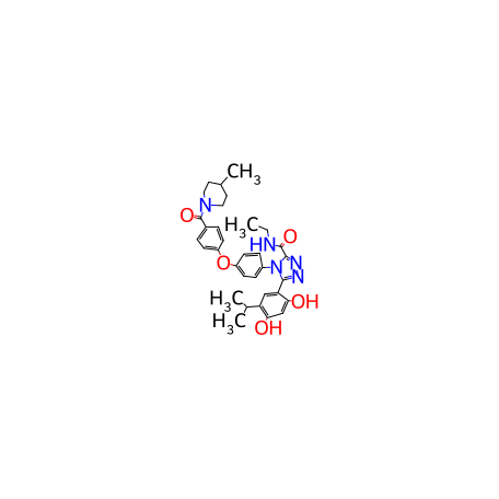 CCNC(=O)c1nnc(-c2cc(C(C)C)c(O)cc2O)n1-c1ccc(Oc2ccc(C(=O)N3CCC(C)CC3)cc2)cc1